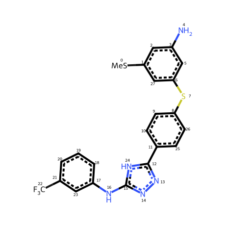 CSc1cc(N)cc(Sc2ccc(-c3nnc(Nc4cccc(C(F)(F)F)c4)[nH]3)cc2)c1